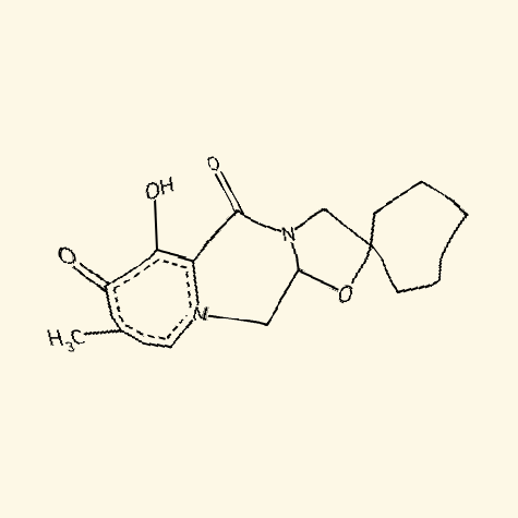 Cc1cn2c(c(O)c1=O)C(=O)N1CC3(CCCCC3)OC1C2